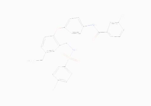 O=C(O)Cc1ccc(Oc2ccc(NC(=O)c3cccc(Cl)c3)cc2)c(CNS(=O)(=O)c2ccc(F)cc2)c1